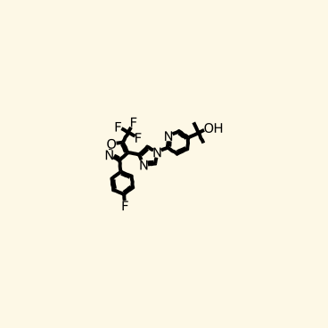 CC(C)(O)c1ccc(-n2cnc(-c3c(-c4ccc(F)cc4)noc3C(F)(F)F)c2)nc1